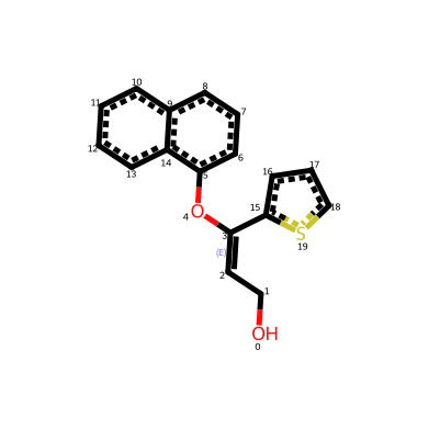 OC/C=C(/Oc1cccc2ccccc12)c1cccs1